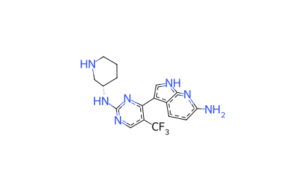 Nc1ccc2c(-c3nc(N[C@H]4CCCNC4)ncc3C(F)(F)F)c[nH]c2n1